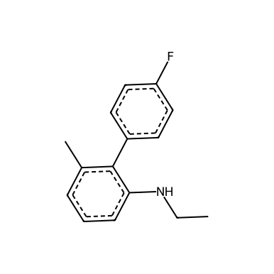 CCNc1cccc(C)c1-c1ccc(F)cc1